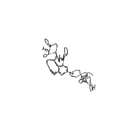 CC(CC1(N)CCN(c2cc3c4c(cccc4c2)N(C2CCC(=O)NC2=O)C3=O)CC1)C(=O)O